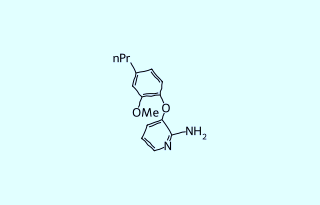 CCCc1ccc(Oc2cccnc2N)c(OC)c1